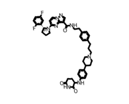 O=C1CCC(Nc2ccc(C3CCN(CCCc4ccc(CCNC(=O)c5cnn6ccc(N7CCC[C@@H]7c7cc(F)ccc7F)nc56)cc4)CC3)cc2)C(=O)N1